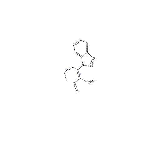 C=C/C(OC)=C(\C=C/C)n1nnc2ccccc21